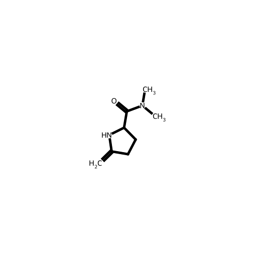 C=C1CCC(C(=O)N(C)C)N1